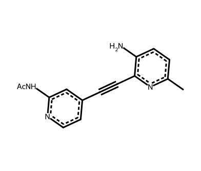 CC(=O)Nc1cc(C#Cc2nc(C)ccc2N)ccn1